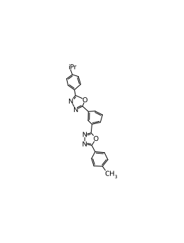 Cc1ccc(-c2nnc(-c3cccc(-c4nnc(-c5ccc(C(C)C)cc5)o4)c3)o2)cc1